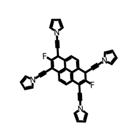 FC1=C(C#Cn2cccc2)c2ccc3c4c(ccc(c24)C1C#Cn1cccc1)C(C#Cn1cccc1)C(F)=C3C#Cn1cccc1